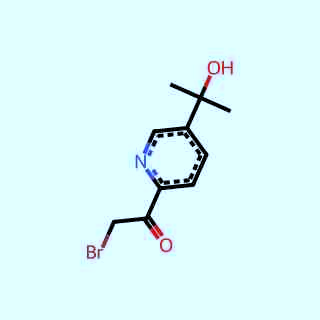 CC(C)(O)c1ccc(C(=O)CBr)nc1